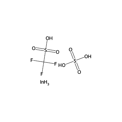 O=S(=O)(O)C(F)(F)F.O=S(=O)(O)O.[InH3]